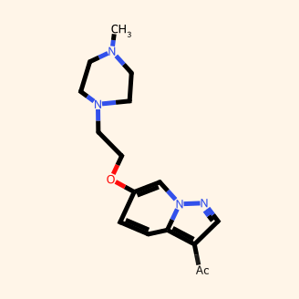 CC(=O)c1cnn2cc(OCCN3CCN(C)CC3)ccc12